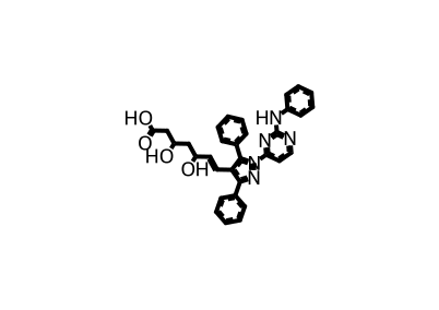 O=C(O)CC(O)CC(O)/C=C/c1c(-c2ccccc2)nn(-c2ccnc(Nc3ccccc3)n2)c1-c1ccccc1